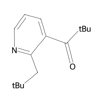 CC(C)(C)Cc1ncccc1C(=O)C(C)(C)C